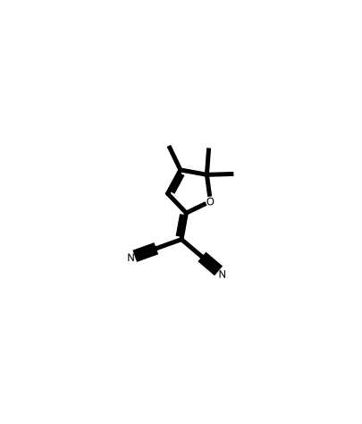 CC1=CC(=C(C#N)C#N)OC1(C)C